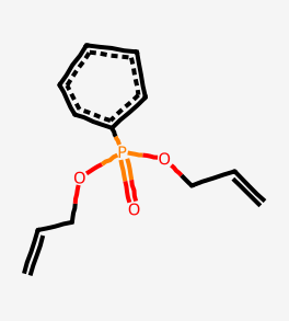 C=CCOP(=O)(OCC=C)c1ccccc1